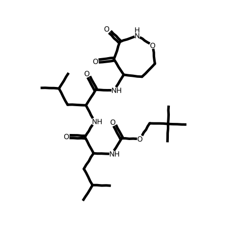 CC(C)CC(NC(=O)OCC(C)(C)C)C(=O)NC(CC(C)C)C(=O)NC1CCONC(=O)C1=O